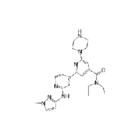 CCN(CC)C(=O)c1cc(-c2ccnc(Nc3ccn(C)n3)c2)nc(N2CCNCC2)c1